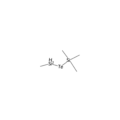 C[SiH2][Te][Si](C)(C)C